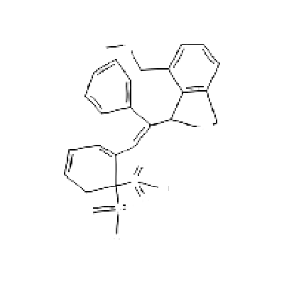 COCc1cccc2c1C(C(=CC1=CC=CCC1(S(=O)(=O)O)S(=O)(=O)O)c1ccccc1)NC2